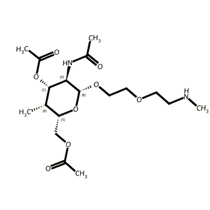 CNCCOCCO[C@@H]1O[C@H](COC(C)=O)[C@H](C)[C@H](OC(C)=O)[C@H]1NC(C)=O